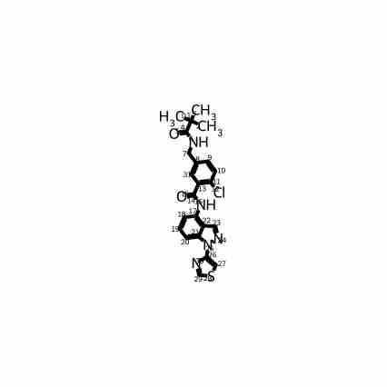 CC(C)(C)C(=O)NCc1ccc(Cl)c(C(=O)Nc2cccc3c2cnn3-c2cscn2)c1